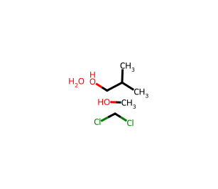 CC(C)CO.CO.ClCCl.O